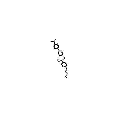 CCCCCc1ccc(C(=O)Oc2ccc(-c3ccc(C(C)C)cc3)cc2)cc1